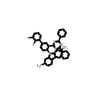 Fc1cccc(-c2ccc(-n3c4cc(C(F)(F)F)ccc4c4ccc(C(F)(F)F)cc43)c(-c3nc(-c4ccccc4)nc(-c4ccccc4)n3)c2)c1F